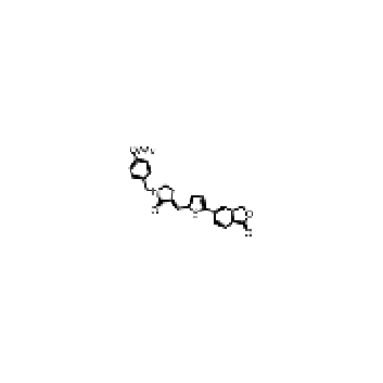 COc1ccc(CN2CCC(=Cc3ccc(-c4ccc5c(c4)COC5=O)s3)C2=O)cc1